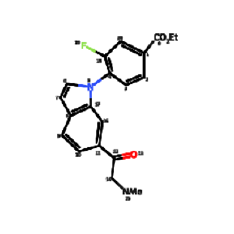 CCOC(=O)c1ccc(-n2ccc3ccc(C(=O)CNC)cc32)c(F)c1